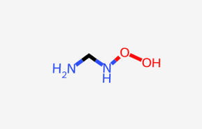 NCNOO